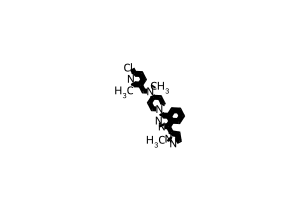 Cc1nc(Cl)ccc1CN(C)C1CCN(c2nnc(-c3ccnn3C)c3ccccc23)CC1